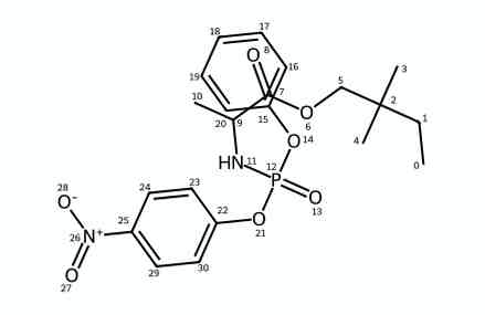 CCC(C)(C)COC(=O)C(C)NP(=O)(Oc1ccccc1)Oc1ccc([N+](=O)[O-])cc1